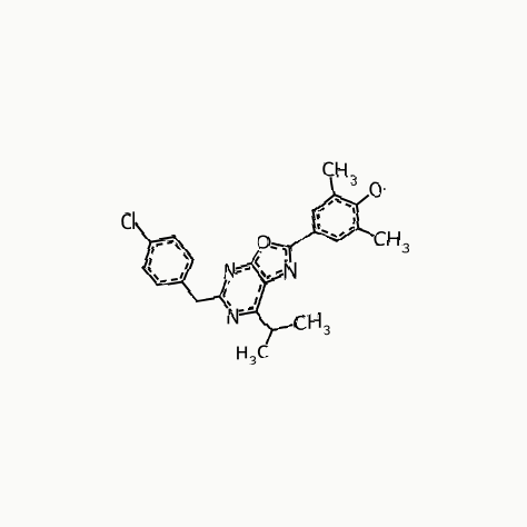 Cc1cc(-c2nc3c(C(C)C)nc(Cc4ccc(Cl)cc4)nc3o2)cc(C)c1[O]